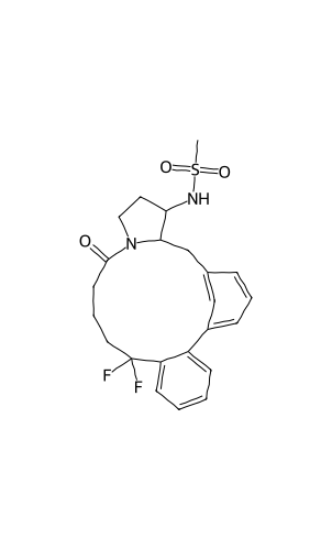 CS(=O)(=O)NC1CCN2C(=O)CCCC(F)(F)c3ccccc3-c3cccc(c3)CC12